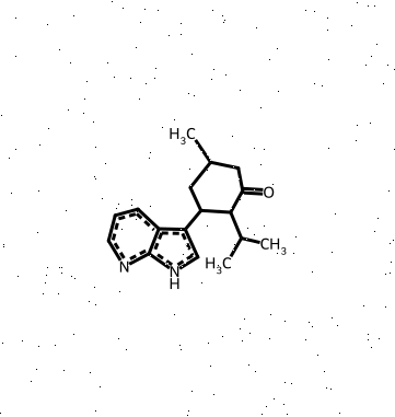 CC1CC(=O)C(C(C)C)C(c2c[nH]c3ncccc23)C1